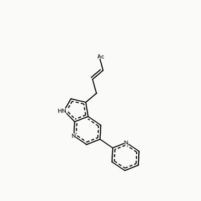 CC(=O)C=CCc1c[nH]c2ncc(-c3ccccn3)cc12